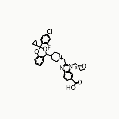 O=C(O)c1ccc2nc(CN3CCC(C4OC(c5ccc(Cl)cc5F)(C5CC5)Oc5ccccc54)CC3)n(C[C@@H]3CCO3)c2c1